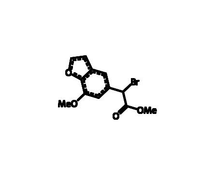 COC(=O)C(Br)c1cc(OC)c2occc2c1